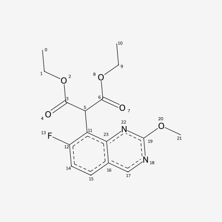 CCOC(=O)C(C(=O)OCC)c1c(F)ccc2cnc(OC)nc12